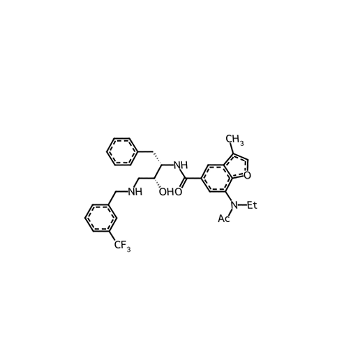 CCN(C(C)=O)c1cc(C(=O)N[C@@H](Cc2ccccc2)[C@H](O)CNCc2cccc(C(F)(F)F)c2)cc2c(C)coc12